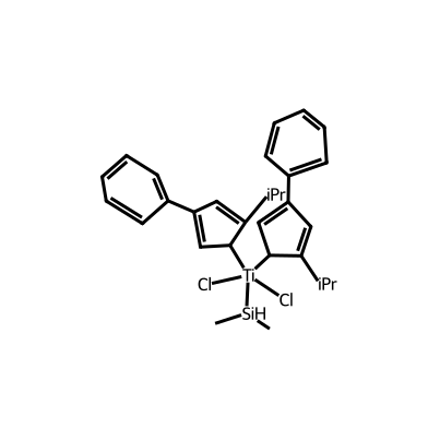 CC(C)C1=CC(c2ccccc2)=C[CH]1[Ti]([Cl])([Cl])([CH]1C=C(c2ccccc2)C=C1C(C)C)[SiH](C)C